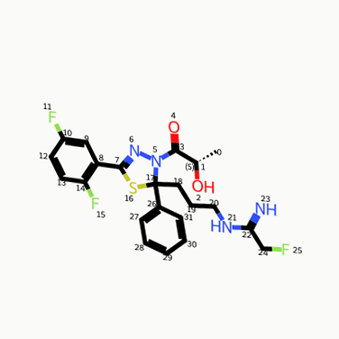 C[C@H](O)C(=O)N1N=C(c2cc(F)ccc2F)SC1(CCCNC(=N)CF)c1ccccc1